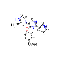 COc1ccc(Oc2nc(-c3cccnc3)ncc2N2CCN[C@H](C)C2)cc1